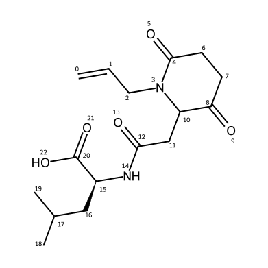 C=CCN1C(=O)CCC(=O)C1CC(=O)N[C@@H](CC(C)C)C(=O)O